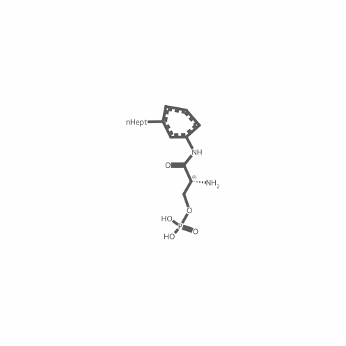 CCCCCCCc1cccc(NC(=O)[C@H](N)COP(=O)(O)O)c1